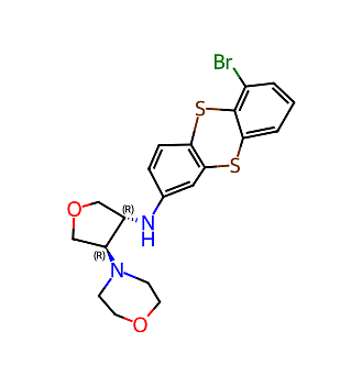 Brc1cccc2c1Sc1ccc(N[C@H]3COC[C@@H]3N3CCOCC3)cc1S2